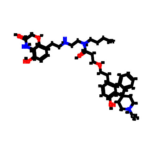 CC(C)CCCN(CCNCCc1ccc(O)c2c1OCC(=O)N2)C(=O)CCOCCc1ccc(O)c(C2(c3ccccc3)CCN(C)CC2)c1